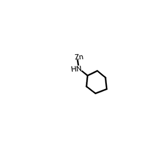 [Zn][NH]C1CCCCC1